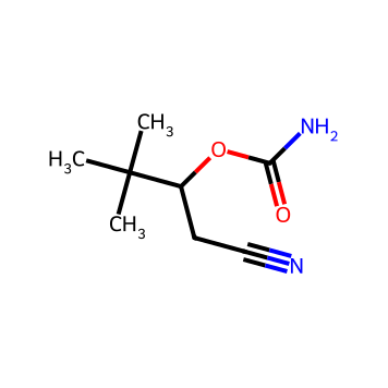 CC(C)(C)C(CC#N)OC(N)=O